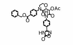 CC(=O)O[C@@H](C(=O)Nc1ccc(-c2noc(=O)[nH]2)cc1)[C@H]1OCCN(c2ccc(C(=O)OCc3ccccc3)cc2)C1=O